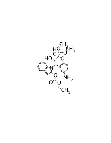 CCOC(=O)Oc1cc2ccccc2n1[C@@H]1c2cc(N)ccc2O[C@](C)(C(OC)OC)[C@H]1O